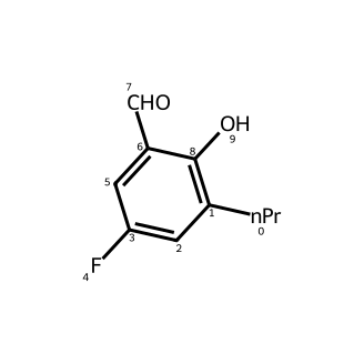 CCCc1cc(F)cc(C=O)c1O